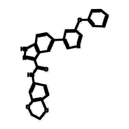 O=C(Nc1ccc2c(c1)OCCO2)c1n[nH]c2ccc(-c3cncc(Oc4ccccc4)c3)cc12